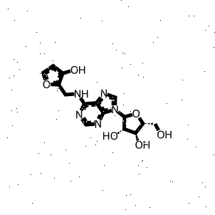 OC[C@H]1OC(n2cnc3c(NCc4occc4O)ncnc32)[C@@H](O)[C@@H]1O